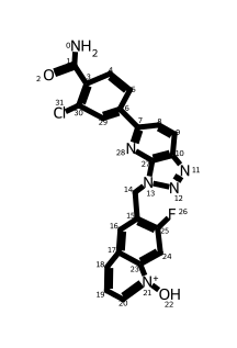 NC(=O)c1ccc(-c2ccc3nnn(Cc4cc5ccc[n+](O)c5cc4F)c3n2)cc1Cl